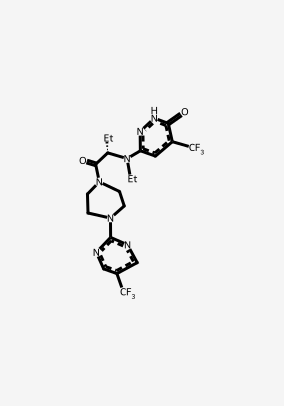 CC[C@@H](C(=O)N1CCN(c2ncc(C(F)(F)F)cn2)CC1)N(CC)c1cc(C(F)(F)F)c(=O)[nH]n1